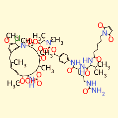 COc1cc2cc(c1Cl)N(C)C(=O)CC(OC(=O)[C@H](C)N(C)C(=O)OCc1ccc(NC(=O)[C@H](CCCNC(N)=O)NC(=O)[C@@H](NC(=O)CCCCCN3C(=O)C=CC3=O)C(C)C)cc1)C1(C)OC1C(C)C1CC(O)(NC(=O)O1)C(OC)/C=C/C=C(\C)C2